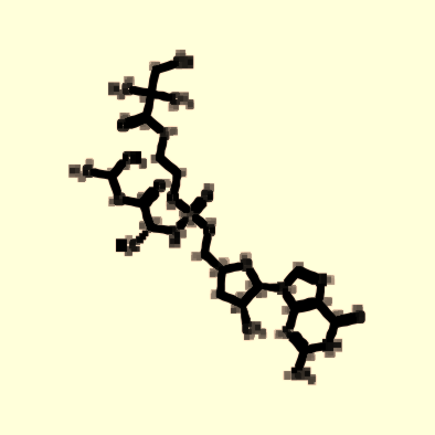 CC(C)OC(=O)[C@@H](C)N[P@](=O)(OCCSC(=O)C(C)(C)CO)OC[C@@H]1C[C@H](C)[C@H](n2cnc3c(=O)[nH]c(N)nc32)O1